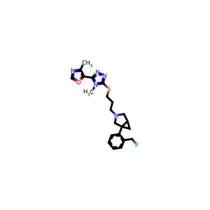 Cc1ncoc1-c1nnc(SCCCN2CC3CC3(c3ccccc3CF)C2)n1C